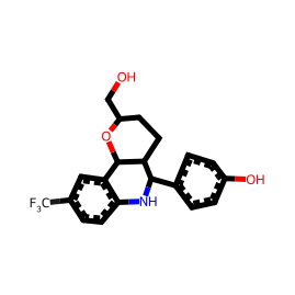 OCC1CCC2C(c3ccc(O)cc3)Nc3ccc(C(F)(F)F)cc3C2O1